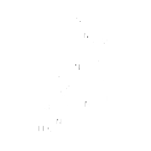 CN(CC1=CCN(c2c(F)cc3c(=O)c(C(=O)n4ccnc4)cn(C4CC4)c3c2Cl)C1)C(=O)OC(C)(C)C